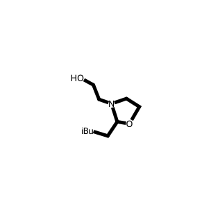 CCC(C)CC1OCCN1CCO